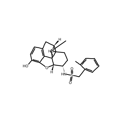 Cc1ccccc1CS(=O)(=O)N[C@H]1CC[C@@]2(O)[C@H]3Cc4ccc(O)c5c4[C@@]2(CCN3C)[C@H]1O5